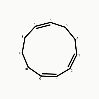 [C]1=C\C=C/CC/C=C\CCC/1